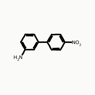 Nc1cc[c]c(-c2ccc([N+](=O)[O-])cc2)c1